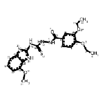 CCOc1ccc(C(=O)NNC(=S)Nc2nc3cccc(OC)c3[nH]2)cc1OCC